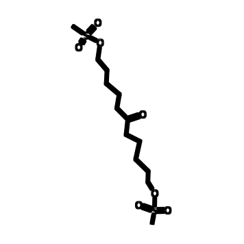 CS(=O)(=O)OCCCCCC(=O)CCCCCOS(C)(=O)=O